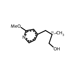 COc1cc(C[C@H](C)CO)ccn1